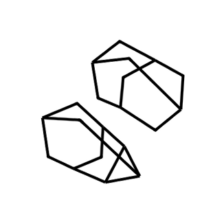 C1C2CC3CC1C1C(C2)C31.C1C2CC3CC1CC(C2)C3